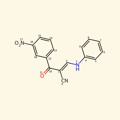 N#C/C(=C\Nc1ccccc1)C(=O)c1cccc([N+](=O)[O-])c1